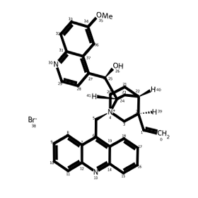 C=C[C@H]1C[N@+]2(Cc3c4ccccc4nc4ccccc34)CC[C@H]1C[C@H]2[C@H](O)c1ccnc2ccc(OC)cc12.[Br-]